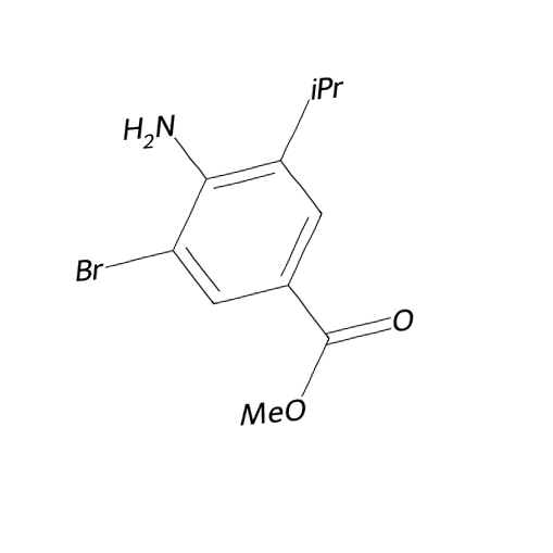 COC(=O)c1cc(Br)c(N)c(C(C)C)c1